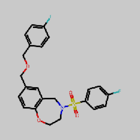 O=S(=O)(c1ccc(F)cc1)N1CCOc2ccc(COCc3ccc(F)cc3)cc2C1